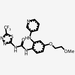 COCCOc1ccc(NC(=O)Nc2nnc(C(F)(F)F)s2)c(Nc2cccnc2)c1